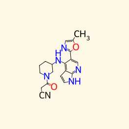 Cc1cnc(-c2cnc3[nH]ccc3c2NC2CCCN(C(=O)CC#N)C2)o1